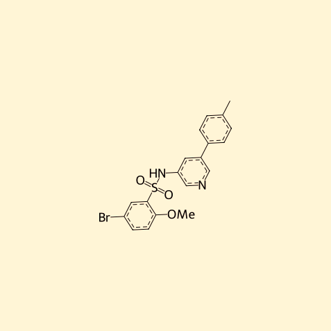 COc1ccc(Br)cc1S(=O)(=O)Nc1cncc(-c2ccc(C)cc2)c1